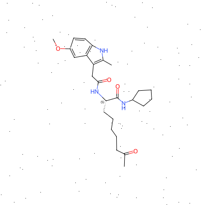 COc1ccc2[nH]c(C)c(CC(=O)N[C@@H](CCCCCC(C)=O)C(=O)NC3CCCC3)c2c1